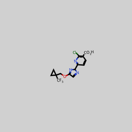 O=C(O)c1ccc(C2N=CC(OCC3(C(F)(F)F)CC3)=N2)nc1Cl